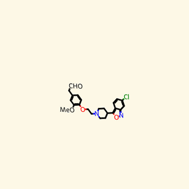 COc1cc(CC=O)ccc1OCCN1CCC(c2onc3cc(Cl)ccc23)CC1